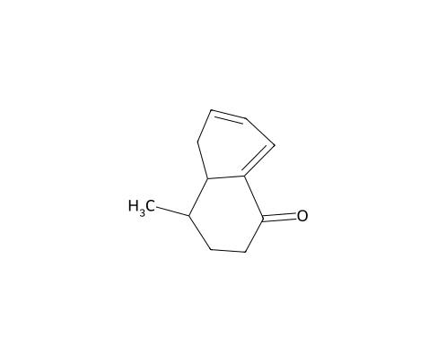 CC1CCC(=O)C2=CC=CCC21